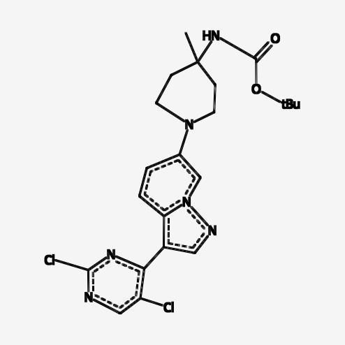 CC1(NC(=O)OC(C)(C)C)CCN(c2ccc3c(-c4nc(Cl)ncc4Cl)cnn3c2)CC1